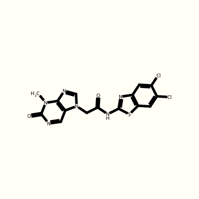 Cn1c(=O)ncc2c1ncn2CC(=O)Nc1nc2cc(Cl)c(Cl)cc2s1